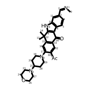 C/N=C\c1ccc2c3c([nH]c2c1)C(C)(C)c1cc(N2CCC(N4CCOCC4)CC2)c(C(C)=O)cc1C3=O